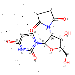 O=C1CCC(=O)N1[C@@H]1[C@H](O)[C@@H](CO)O[C@H]1n1ccc(=O)[nH]c1=O